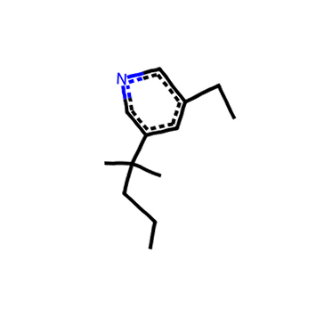 CCCC(C)(C)c1cncc(CC)c1